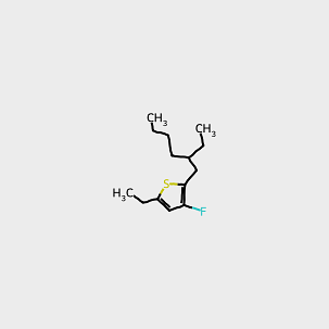 CCCCC(CC)Cc1sc(CC)cc1F